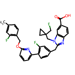 Cc1ccc(COc2cccc(-c3ccc(Cc4nc5ccc(C(=O)O)cc5n4CC4(CF)CC4)cc3F)n2)c(F)c1